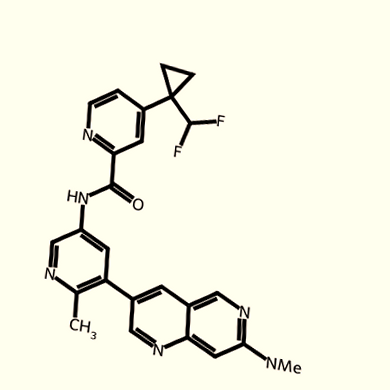 CNc1cc2ncc(-c3cc(NC(=O)c4cc(C5(C(F)F)CC5)ccn4)cnc3C)cc2cn1